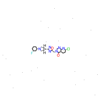 O=c1c2ccc(Cl)nc2ncn1Cc1nc([C@H]2[C@@H]3CN(c4cccc(F)c4)C[C@@H]32)no1